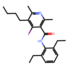 CCCCc1c(C)nc(C)c(C(=O)Nc2c(CC)cccc2CC)c1I